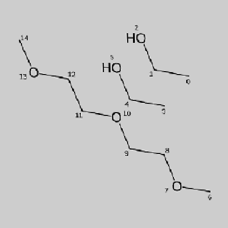 CCO.CCO.COCCOCCOC